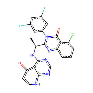 C[C@H](Nc1ncnc2[nH]ccc(=O)c12)c1nc2cccc(Cl)c2c(=O)n1-c1cc(F)cc(F)c1